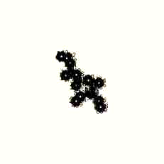 CC1(C)c2ccccc2-c2cc(-n3c4ccccc4c4c5c6ccccc6n(-c6ccc7c8ccccc8n(-c8nc(-c9ccc%10ccccc%10c9)cc(-c9ccc%10ccccc%10c9)n8)c7c6)c5ccc43)ccc21